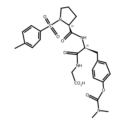 Cc1ccc(S(=O)(=O)N2CCC[C@H]2C(=O)N[C@@H](Cc2ccc(OC(=O)N(C)C)cc2)C(=O)NCC(=O)O)cc1